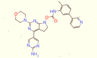 Cc1ccc(-c2cccnc2)cc1NC(=O)ON1CCc2c(-c3cnc(N)nc3)nc(N3CCOCC3)nc21